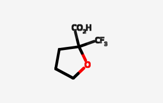 O=C(O)C1(C(F)(F)F)CCCO1